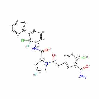 NC(=O)c1cc(CC(=O)N2C[C@H](F)C[C@H]2C(=O)NC2C=CC=C(c3ccccc3)C2(F)Cl)ccc1Cl